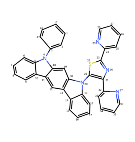 c1ccc(-n2c3ccccc3c3cc4c5ccccc5n(-c5sc(-c6ccccn6)nc5-c5ccccn5)c4cc32)cc1